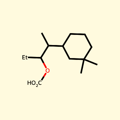 CCC(OC(=O)O)C(C)C1CCCC(C)(C)C1